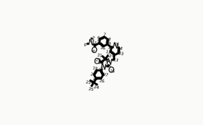 CN(C)C(=O)c1cccc(-c2cc(CN3C(=O)N(c4ccc(C(C)(C)C)cc4)C(=O)C3(C)C)ccn2)c1